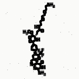 COC(=O)[C@H](CCC(=O)NCCOCCOCCN)NC(=O)c1ccc(N(Cc2cnc3nc(N)[nH]c(=O)c3n2)C(=O)C(F)(F)F)cc1